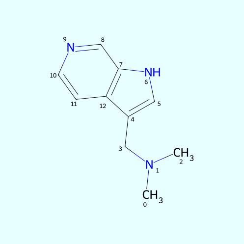 CN(C)Cc1c[nH]c2cnccc12